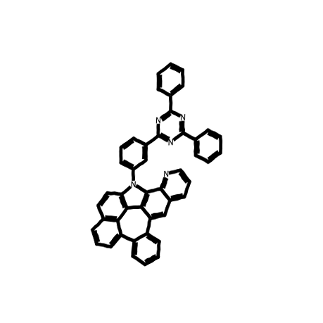 c1ccc(-c2nc(-c3ccccc3)nc(-c3cccc(-n4c5ccc6cccc7c6c5c5c(cc6cccnc6c54)-c4ccccc4-7)c3)n2)cc1